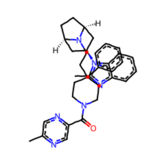 Cc1cnc(C(=O)N2CCC(CCN3[C@@H]4CC[C@H]3C[C@@H](n3c(C)nc5ccccc53)C4)(c3ccccc3)CC2)cn1